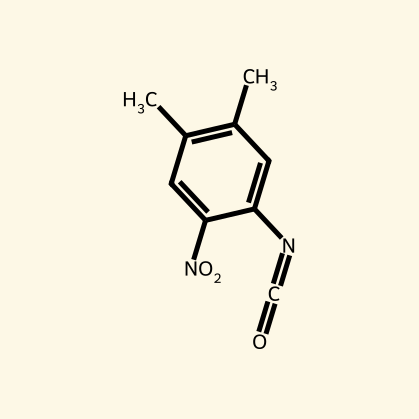 Cc1cc(N=C=O)c([N+](=O)[O-])cc1C